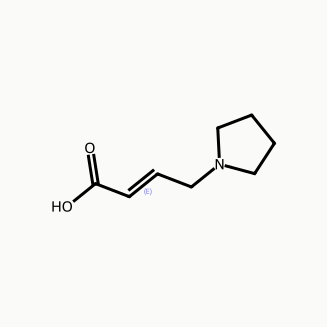 O=C(O)/C=C/CN1CCCC1